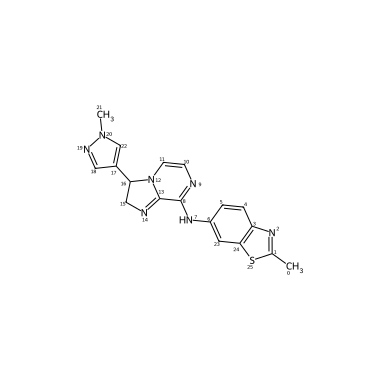 Cc1nc2ccc(NC3=NC=CN4C3=NCC4c3cnn(C)c3)cc2s1